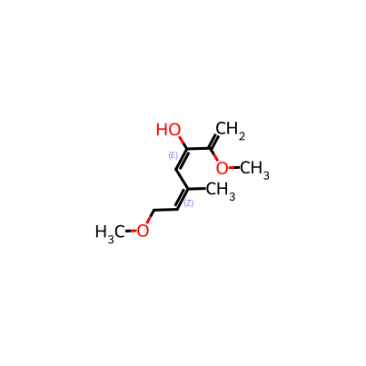 C=C(OC)/C(O)=C\C(C)=C/COC